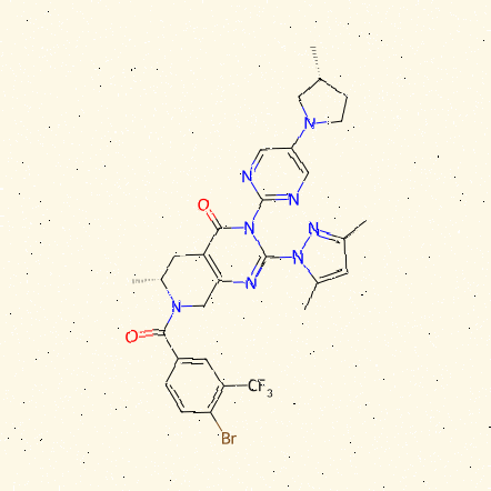 Cc1cc(C)n(-c2nc3c(c(=O)n2-c2ncc(N4CC[C@@H](C)C4)cn2)C[C@@H](C)N(C(=O)c2ccc(Br)c(C(F)(F)F)c2)C3)n1